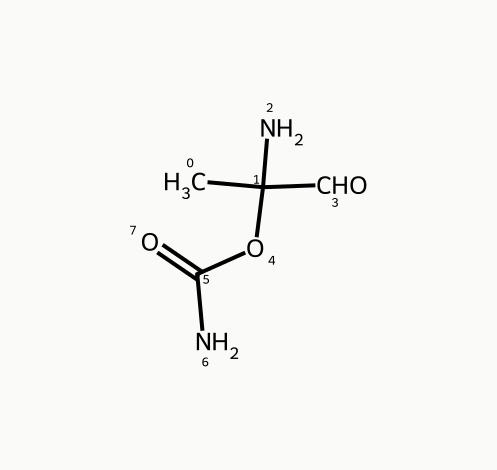 CC(N)(C=O)OC(N)=O